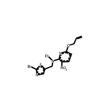 C=CCOc1ccc([N+](=O)[O-])c(N(CC)Cc2cnc(Br)s2)n1